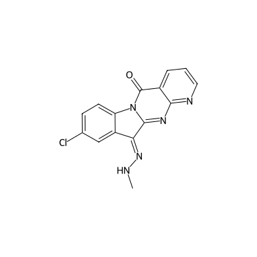 CN/N=C1\c2cc(Cl)ccc2-n2c1nc1ncccc1c2=O